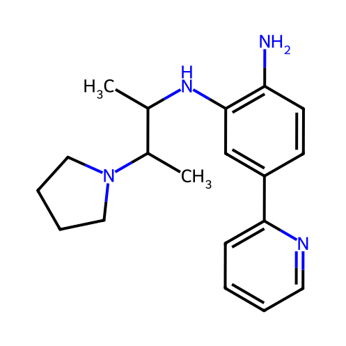 CC(Nc1cc(-c2ccccn2)ccc1N)C(C)N1CCCC1